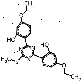 CCOc1ccc(-c2nc(SC)nc(-c3ccc(OCC)cc3O)n2)c(O)c1